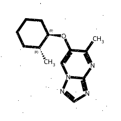 Cc1nc2ncnn2cc1O[C@@H]1CCCC[C@H]1C